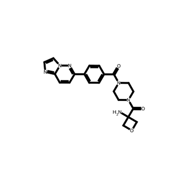 NC1(C(=O)N2CCN(C(=O)c3ccc(-c4ccc5nccn5n4)cc3)CC2)COC1